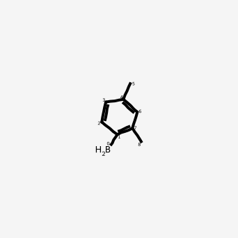 Bc1ccc(C)cc1C